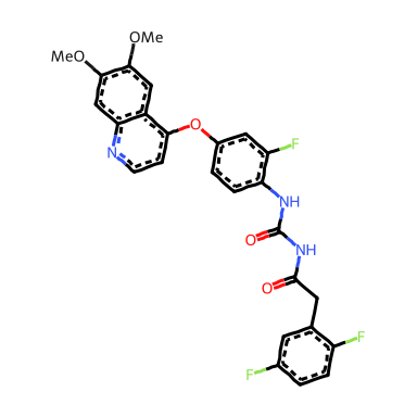 COc1cc2nccc(Oc3ccc(NC(=O)NC(=O)Cc4cc(F)ccc4F)c(F)c3)c2cc1OC